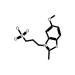 COc1ccc2sc(C)[n+](CCCS(=O)(=O)[O-])c2c1